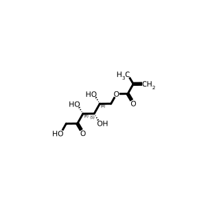 C=C(C)C(=O)OC[C@@H](O)[C@H](O)[C@@H](O)C(=O)CO